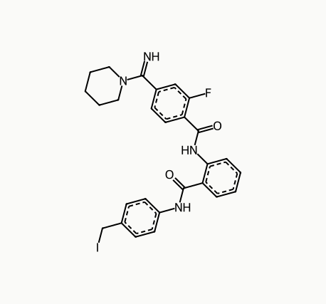 N=C(c1ccc(C(=O)Nc2ccccc2C(=O)Nc2ccc(CI)cc2)c(F)c1)N1CCCCC1